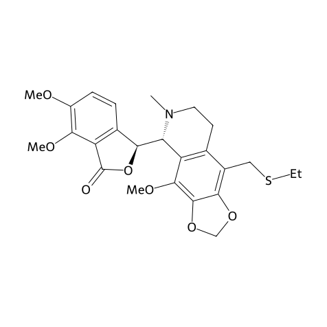 CCSCc1c2c(c(OC)c3c1OCO3)[C@H]([C@H]1OC(=O)c3c1ccc(OC)c3OC)N(C)CC2